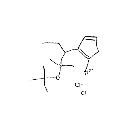 CCC(C1=[C]([Ti+2])CC=C1)[Si](C)(C)OC(C)(C)C.[Cl-].[Cl-]